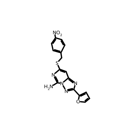 Nc1nc(SCc2ccc([N+](=O)[O-])cc2)cc2nc(-c3ccco3)nn12